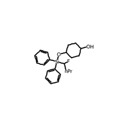 CCCC(F)[Si](OC1CCC(O)CC1)(c1ccccc1)c1ccccc1